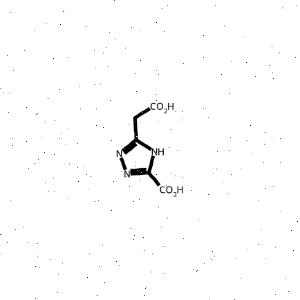 O=C(O)Cc1nnc(C(=O)O)[nH]1